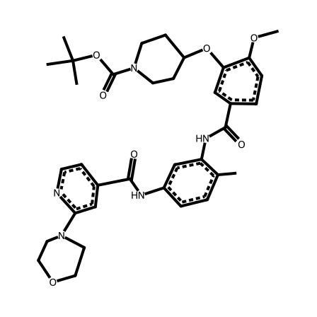 COc1ccc(C(=O)Nc2cc(NC(=O)c3ccnc(N4CCOCC4)c3)ccc2C)cc1OC1CCN(C(=O)OC(C)(C)C)CC1